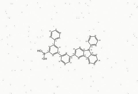 OB(O)c1cc(-c2ccccc2)cc(-c2cccc(-c3ccc4c(c3)c3ccccc3n4-c3ccccc3)c2)c1